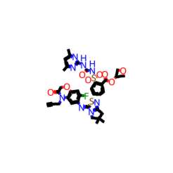 C#CCN1C(=O)COc2cc(F)c(/N=c3\snc4n3CC(C)(C)C4)cc21.Cc1cc(C)nc(NC(=O)NS(=O)(=O)c2ccccc2C(=O)OC2COC2)n1